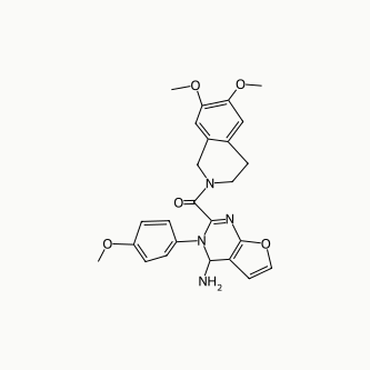 COc1ccc(N2C(C(=O)N3CCc4cc(OC)c(OC)cc4C3)=Nc3occc3C2N)cc1